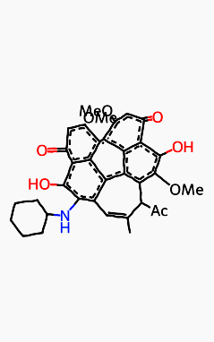 COc1c(O)c2c(=O)cc(OC)c3c4c(OC)cc(=O)c5c(O)c(NC6CCCCC6)c6c(c(c1C(C(C)=O)C(C)=C6)c23)c54